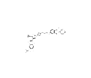 O=C1CCC(N2C(=O)c3ccc(NCCCC4CC(n5cc(-c6cnc7cc(NC8COC8)ccc7n6)c(C6CC6)n5)C4)cc3C2=O)C(=O)N1